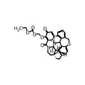 CCOC(=O)OCOc1c2n(ccc1=O)N(C1c3ccccc3SCc3cccc(F)c31)[C@@H]1[C@H]3C[C@@H]4CC[C@@]3(CCN1C2=O)O4